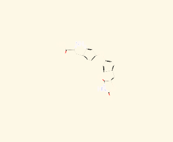 NC(Cc1ccc(Oc2ccc(C=C3OC(=O)NC3=O)cc2)cc1F)C(=O)O